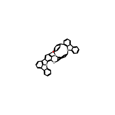 c1ccc2c(c1)c1cccc3c1n2-c1ccc2c(c1)Oc1c4c(cc5c6cccc7c8ccccc8n(c15)c76)Oc1cc-3ccc1B24